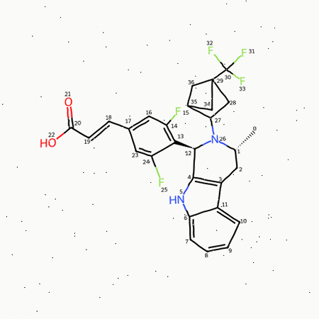 C[C@@H]1Cc2c([nH]c3ccccc23)[C@@H](c2c(F)cc(/C=C/C(=O)O)cc2F)N1C1CC2(C(F)(F)F)CC1C2